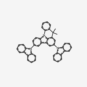 CC1(C)c2ccccc2-n2c3ccc(-n4c5ccccc5c5ccccc54)cc3c3cc(-n4c5ccccc5c5ccccc54)cc1c32